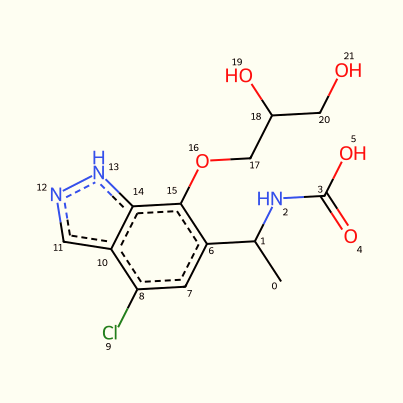 CC(NC(=O)O)c1cc(Cl)c2cn[nH]c2c1OCC(O)CO